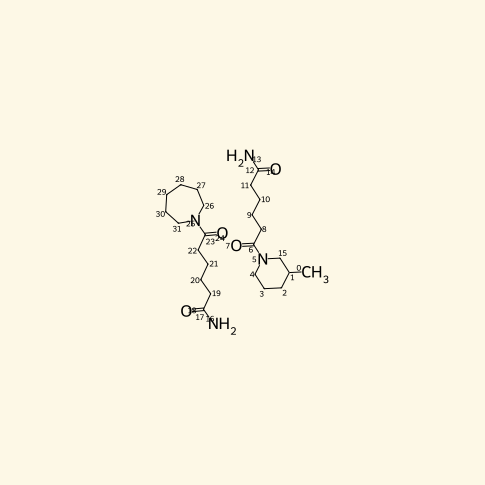 CC1CCCN(C(=O)CCCCC(N)=O)C1.NC(=O)CCCCC(=O)N1CCCCCC1